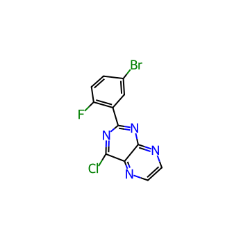 Fc1ccc(Br)cc1-c1nc(Cl)c2nccnc2n1